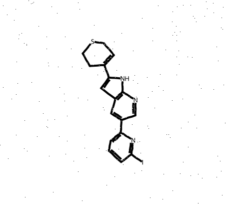 Ic1cccc(-c2cnc3[nH]c(C4=CCSCC4)cc3c2)n1